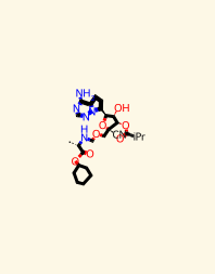 CC(C)C(=O)O[C@H]1[C@@H](O)[C@H](c2ccc3c(N)ncnn23)O[C@]1(C#N)COCN[C@@H](C)C(=O)OC1CCCCC1